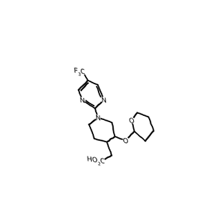 O=C(O)CC1CCN(c2ncc(C(F)(F)F)cn2)CC1OC1CCCCO1